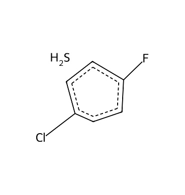 Fc1ccc(Cl)cc1.S